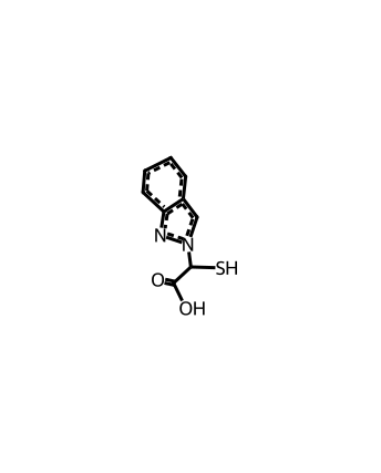 O=C(O)C(S)n1cc2ccccc2n1